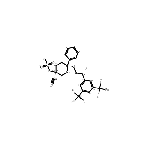 C[C@@H](OC[C@@]1(c2ccccc2)CC[C@](C#N)(NS(C)(=O)=O)CN1)c1cc(C(F)(F)F)cc(C(F)(F)F)c1